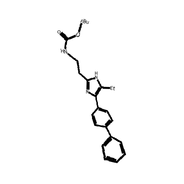 CCCCOC(=O)NCCc1nc(-c2ccc(-c3ccccc3)cc2)c(CC)[nH]1